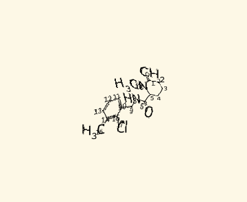 C=C1CCCC(C(=O)NCc2cccc(C)c2Cl)N1C